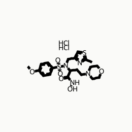 COc1ccc(S(=O)(=O)N(Cc2csc(C)n2)C(CCN2CCOCC2)C(=O)NO)cc1.Cl.Cl